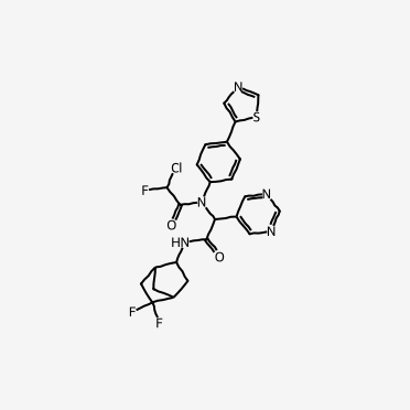 O=C(NC1CC2CC1CC2(F)F)C(c1cncnc1)N(C(=O)C(F)Cl)c1ccc(-c2cncs2)cc1